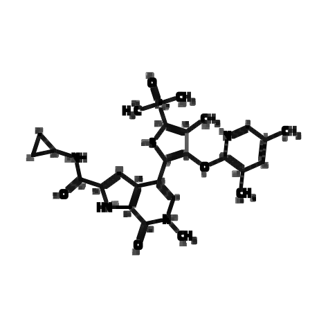 Cc1cnc(Oc2c(-c3cn(C)c(=O)c4[nH]c(C(=O)NC5CC5)cc34)sc(P(C)(C)=O)c2C)c(C)c1